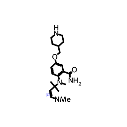 CN/C=C\C(C)(C)N(C)c1ccc(OCC2CCNCC2)cc1C(N)=O